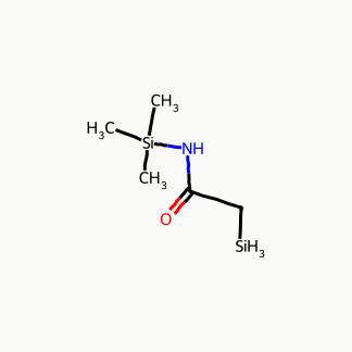 C[Si](C)(C)NC(=O)C[SiH3]